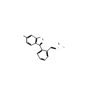 CC(C)[S@+]([O-])/N=C/c1ccccc1-c1noc2cc(F)ccc12